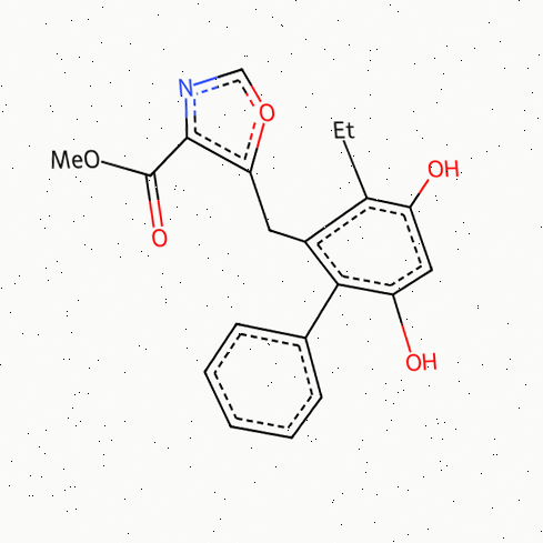 CCc1c(O)cc(O)c(-c2ccccc2)c1Cc1ocnc1C(=O)OC